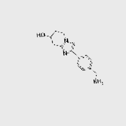 NCc1ccc(-c2nc3n(n2)CCC(O)C3)cc1